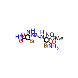 COc1c(C(N)=O)c(Br)cc(NCCCNc2c(Br)cc3c(=O)[nH]oc3c2[N+](=O)[O-])c1[N+](=O)[O-]